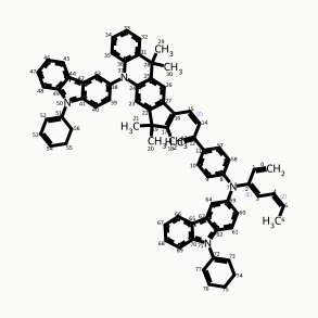 C=C/C(=C\C=C/C)N(c1ccc(C(=C)/C=C\C2=C(C)C(C)(C)c3cc4c(cc32)C(C)(C)c2ccccc2N4c2ccc3c(c2)c2ccccc2n3C2=CC=CCC2)cc1)c1ccc2c(c1)c1ccccc1n2C1=CCCC=C1